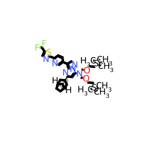 C[Si](C)(C)CCOCN(COCC[Si](C)(C)C)c1cc([C@H]2C[C@@H]3CC[C@@H](C3)C2)nc2c(-c3ccc(-c4ncc(C(F)F)s4)nc3)cnn12